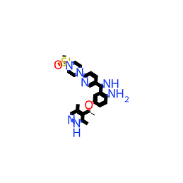 CC1=C([C@@H](C)Oc2ccc(N)c(C(=N)c3ccc(N4CCN([S+](C)[O-])CC4)nc3)c2)C(C)NN=C1